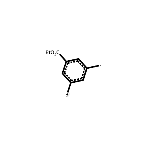 [CH2]c1cc(Br)cc(C(=O)OCC)c1